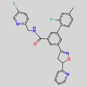 Cc1ccc(-c2cc(C(=O)NCc3ccc(F)cn3)cc(C3=NOC(c4ccccn4)C3)c2)c(F)c1